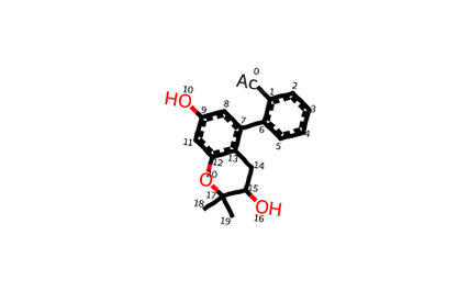 CC(=O)c1ccccc1-c1cc(O)cc2c1CC(O)C(C)(C)O2